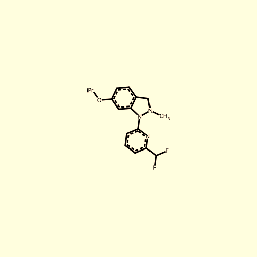 CC(C)Oc1ccc2c(c1)N(c1cccc(C(F)F)n1)N(C)C2